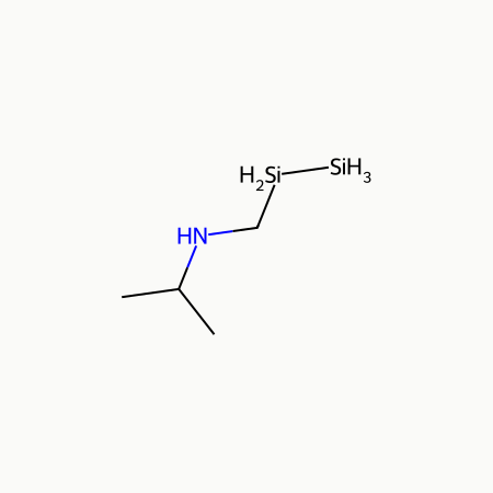 CC(C)NC[SiH2][SiH3]